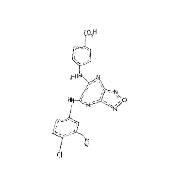 O=C(O)c1ccc(Nc2nc3nonc3nc2Nc2ccc(Cl)c(Cl)c2)cc1